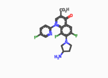 NC1CCN(c2c(F)cc3c(=O)c(C(=O)O)cn(-c4ccc(F)cn4)c3c2F)C1